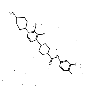 CCCC1CCC(c2ccc(C3CCC(C(=O)Oc4ccc(C)c(F)c4)CC3)c(F)c2F)CC1